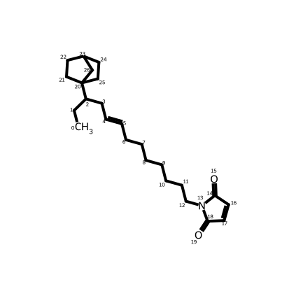 CCC(CC=CCCCCCCCN1C(=O)C=CC1=O)C12CCC(CC1)C2